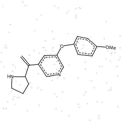 C=C(c1cncc(Oc2ccc(OC)cc2)c1)C1CCCN1